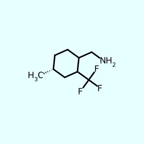 C[C@@H]1CCC(CN)C(C(F)(F)F)C1